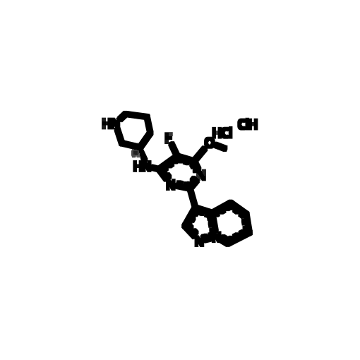 COc1nc(-c2cnn3ccccc23)nc(N[C@@H]2CCCNC2)c1F.Cl.Cl